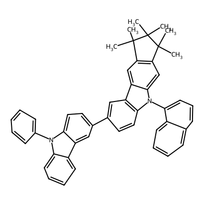 CC1(C)c2cc3c4cc(-c5ccc6c(c5)c5ccccc5n6-c5ccccc5)ccc4n(-c4cccc5ccccc45)c3cc2C(C)(C)C1(C)C